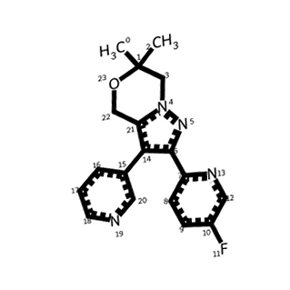 CC1(C)Cn2nc(-c3ccc(F)cn3)c(-c3cccnc3)c2CO1